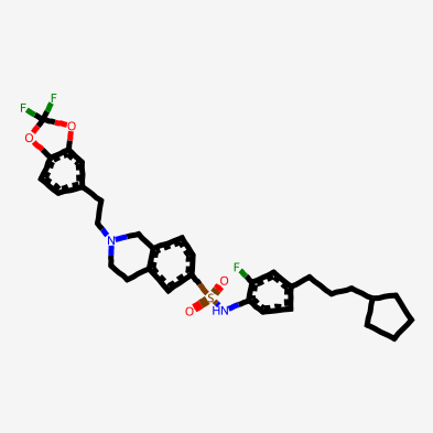 O=S(=O)(Nc1ccc(CCCC2CCCC2)cc1F)c1ccc2c(c1)CCN(CCc1ccc3c(c1)OC(F)(F)O3)C2